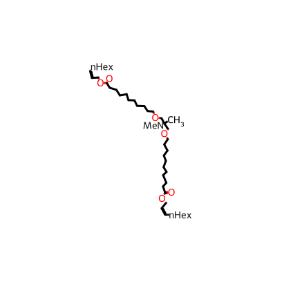 CCCCCC/C=C\COC(=O)CCCCCCCCCCOCC(C)(COCCCCCCCCCCC(=O)OC/C=C\CCCCCC)NC